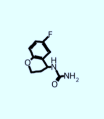 NC(=O)NC1CCOc2ccc(F)cc21